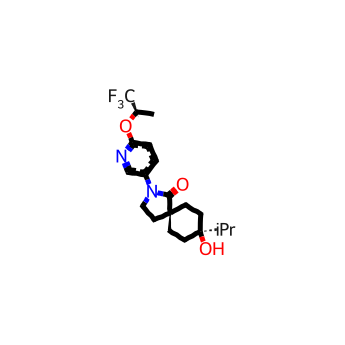 CC(C)[C@]1(O)CC[C@]2(CCN(c3ccc(O[C@H](C)C(F)(F)F)nc3)C2=O)CC1